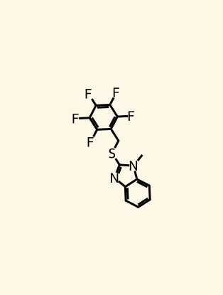 Cn1c(SCc2c(F)c(F)c(F)c(F)c2F)nc2ccccc21